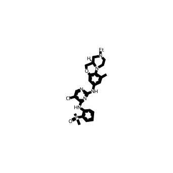 CCN1CCN2c3c(C)cc(Nc4ncc(Cl)c(Nc5ccccc5P(C)(C)=O)n4)cc3OC[C@H]2C1